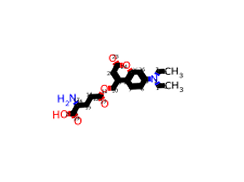 CCN(CC)c1ccc2c(COC(=O)CCC(N)C(=O)O)cc(=O)oc2c1